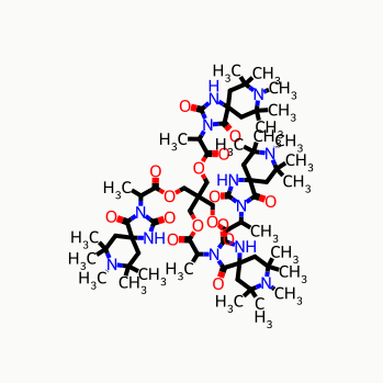 CC(C(=O)OCC(COC(=O)C(C)N1C(=O)NC2(CC(C)(C)N(C)C(C)(C)C2)C1=O)(COC(=O)C(C)N1C(=O)NC2(CC(C)(C)N(C)C(C)(C)C2)C1=O)COC(=O)C(C)N1C(=O)NC2(CC(C)(C)N(C)C(C)(C)C2)C1=O)N1C(=O)NC2(CC(C)(C)N(C)C(C)(C)C2)C1=O